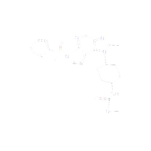 Cc1nc2cnc3c(ccn3S(=O)(=O)c3ccccc3)c2n1C1CCC(NC(=O)N(C)C)CC1